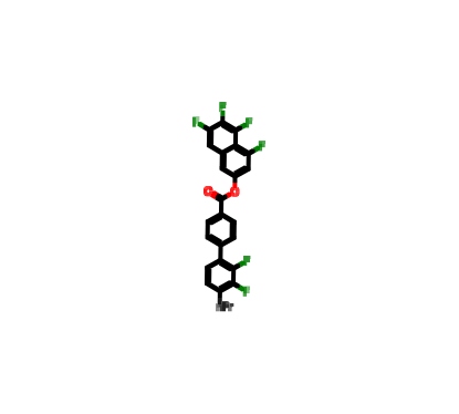 CCCc1ccc(-c2ccc(C(=O)Oc3cc(F)c4c(F)c(F)c(F)cc4c3)cc2)c(F)c1F